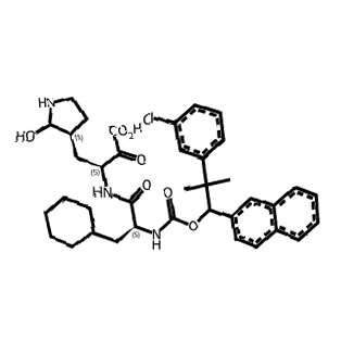 CC(C)(c1cccc(Cl)c1)C(OC(=O)N[C@@H](CC1CCCCC1)C(=O)N[C@@H](C[C@@H]1CCNC1O)C(=O)C(=O)O)c1ccc2ccccc2c1